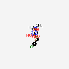 CCN(C)S(=O)(=O)N1CCN(S(=O)(=O)c2ccc(-c3ccc(Cl)cc3)s2)[C@@H](C(=O)NO)C1